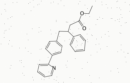 CCOC(=O)CC(Cc1ccc(-c2ccccn2)cc1)c1ccccc1